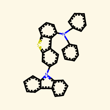 c1ccc(N(c2ccccc2)c2cccc3sc4cc(-n5c6ccccc6c6ccccc65)ccc4c23)cc1